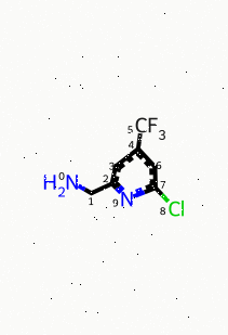 NCc1cc(C(F)(F)F)cc(Cl)n1